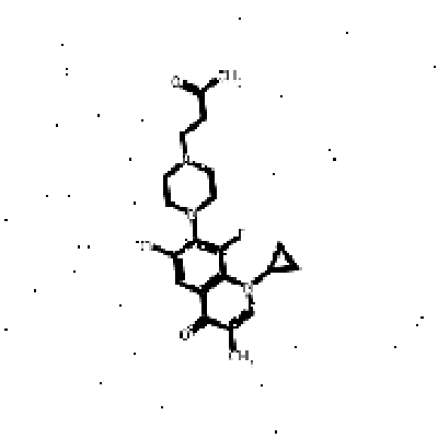 CC(=O)CCN1CCN(c2c(Cl)cc3c(=O)c(C)cn(C4CC4)c3c2F)CC1